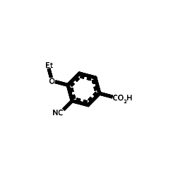 CCOc1ccc(C(=O)O)cc1C#N